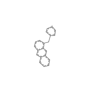 [c]1ccc(Cc2cccc3cc4ccccc4cc23)cc1